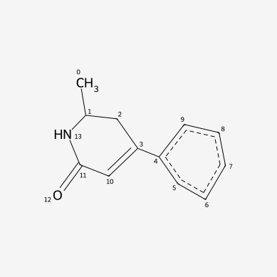 CC1CC(c2ccccc2)=CC(=O)N1